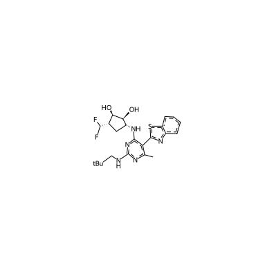 Cc1nc(NCC(C)(C)C)nc(N[C@@H]2C[C@H](C(F)F)[C@@H](O)[C@H]2O)c1-c1nc2ccccc2s1